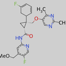 COCc1cc(NC(=O)[C@@H]2C[C@@]2(COc2cnc(C)nc2C)C2C=CC=C(F)C2)ncc1F